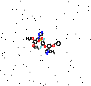 COc1ccc(CN(c2ccncn2)S(=O)(=O)c2cc(F)c(OC3CCC(OCc4ccccc4)C[C@@H]3c3ccnn3C)cc2F)c(OC)c1